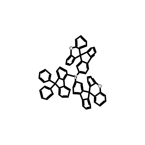 c1ccc(C2(c3ccccc3)c3ccccc3-c3c(N(c4ccc5c(c4)C4(c6ccccc6Oc6ccccc64)c4ccccc4-5)c4ccc5c(c4)C4(c6ccccc6Oc6ccccc64)c4ccccc4-5)cccc32)cc1